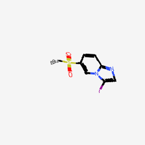 CC(C)(C)S(=O)(=O)c1ccc2ncc(I)n2c1